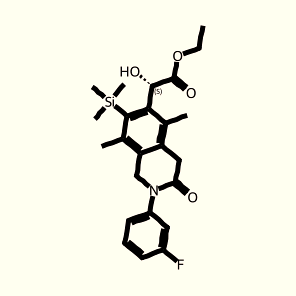 CCOC(=O)[C@@H](O)c1c(C)c2c(c(C)c1[Si](C)(C)C)CN(c1cccc(F)c1)C(=O)C2